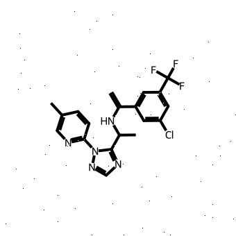 C=C(NC(C)c1ncnn1-c1ccc(C)cn1)c1cc(Cl)cc(C(F)(F)F)c1